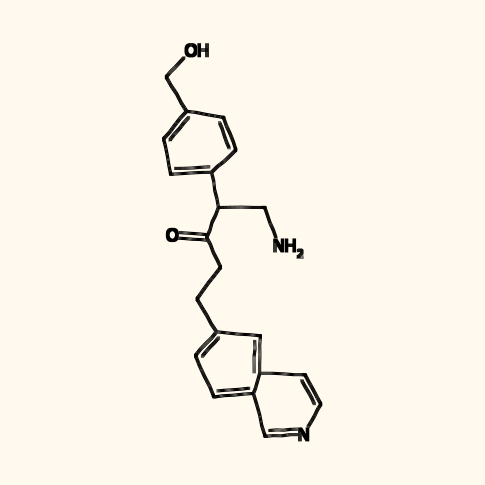 NCC(C(=O)CCc1ccc2cnccc2c1)c1ccc(CO)cc1